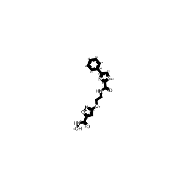 O=C(NO)c1cc(OCCNC(=O)c2nc(-c3ccccc3)cs2)no1